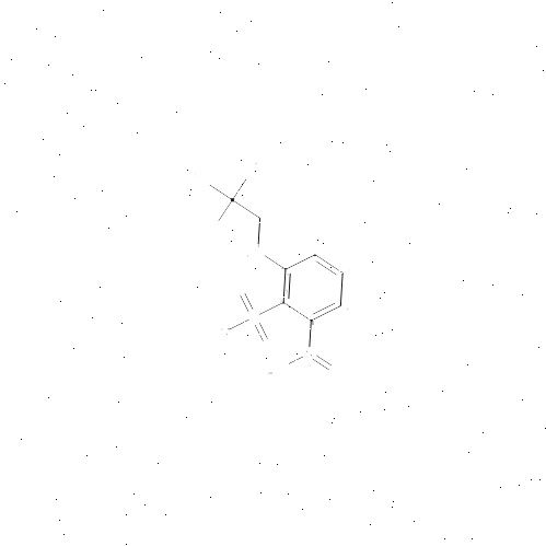 NS(=O)(=O)c1c(OCC(F)(F)F)cccc1[N+](=O)[O-]